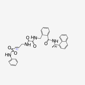 C[C@@H](NC(=O)c1ccccc1CNC(=O)C(=O)NC/C=C/S(=O)(=O)Nc1ccccc1)c1cccc2ccccc12